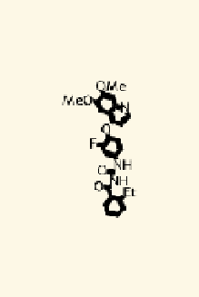 CCc1ccccc1C(=O)NC(=O)Nc1ccc(Oc2ccnc3cc(OC)c(OC)cc23)c(F)c1